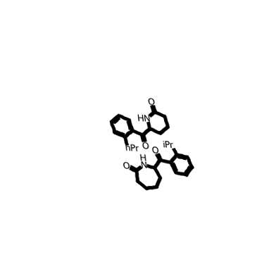 CC(C)c1ccccc1C(=O)C1CCCCC(=O)N1.CCCc1ccccc1C(=O)C1CCCC(=O)N1